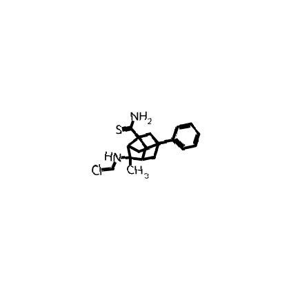 CC1(NCCl)C2CC3(c4ccccc4)CC1C(C(N)=S)(C2)C3